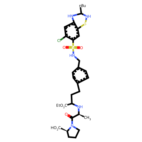 CCCCC1NSc2cc(S(=O)(=O)NCc3ccc(CCC(N[C@@H](C)C(=O)N4CCC[C@H]4C(=O)O)C(=O)OCC)cc3)c(Cl)cc2N1